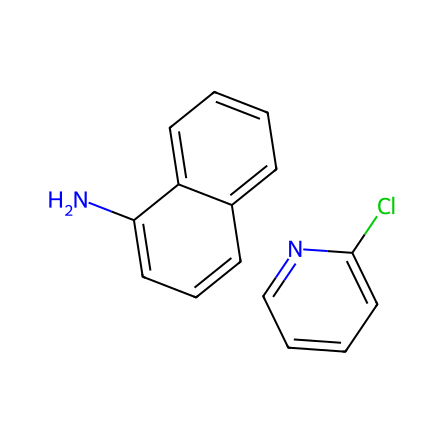 Clc1ccccn1.Nc1cccc2ccccc12